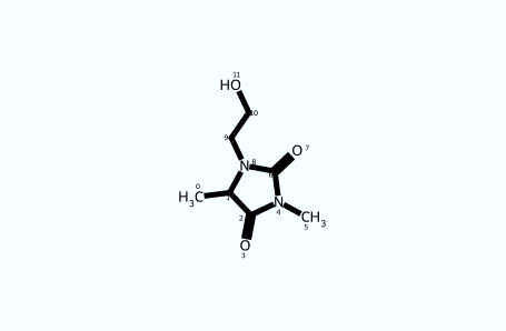 CC1C(=O)N(C)C(=O)N1CCO